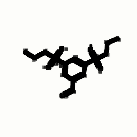 CCCS(=O)(=O)c1cc(C=O)cc(S(=O)(=O)CCC)c1